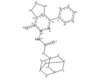 O=C(CC12CC3CC(CC(C3)C1)C2)Nn1nc(-c2ccccc2)c2c(c1=O)CCC2